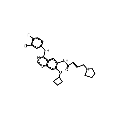 O=C(C=CCN1CCCC1)Nc1cc2c(Nc3ccc(F)c(Cl)c3)ncnc2cc1OC1CCC1